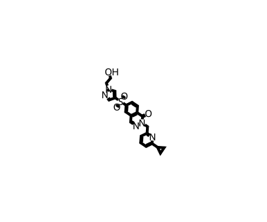 O=c1c2ccc(S(=O)(=O)c3cnn(CCO)c3)cc2cnn1Cc1cccc(C2CC2)n1